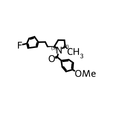 COc1ccc(C(=O)N2[C@@H](CCc3ccc(F)cc3)CC[C@H]2C)cc1